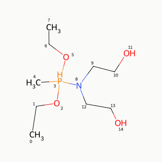 CCO[PH](C)(OCC)N(CCO)CCO